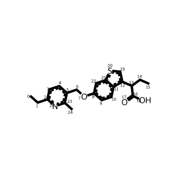 CCc1ccc(COc2ccc3c(C(CC)C(=O)O)csc3c2)c(C)n1